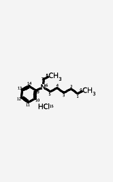 CCCCCCN(CC)c1ccccc1.Cl